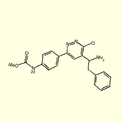 COC(=O)Nc1ccc(-c2cc(C(N)Cc3ccccc3)c(Cl)nn2)cc1